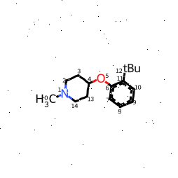 CN1CCC(Oc2ccccc2C(C)(C)C)CC1